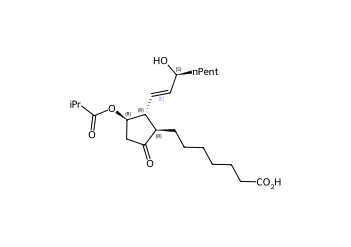 CCCCC[C@H](O)/C=C/[C@H]1[C@H](OC(=O)C(C)C)CC(=O)[C@@H]1CCCCCCC(=O)O